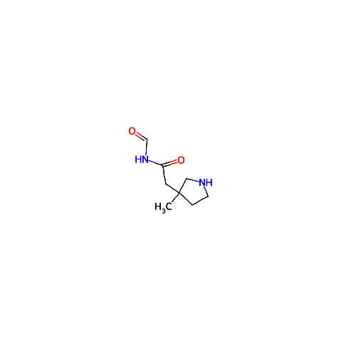 CC1(CC(=O)NC=O)CCNC1